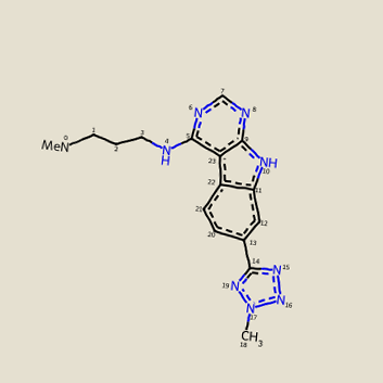 CNCCCNc1ncnc2[nH]c3cc(-c4nnn(C)n4)ccc3c12